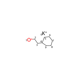 [K+].[O-]CCC1CCCCC1